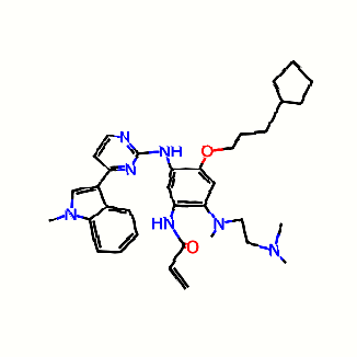 C=CC(=O)Nc1cc(Nc2nccc(-c3cn(C)c4ccccc34)n2)c(OCCCC2CCCC2)cc1N(C)CCN(C)C